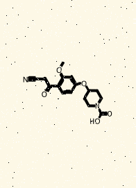 COc1cc(OC2CCN(C(=O)O)CC2)ccc1C(=O)CC#N